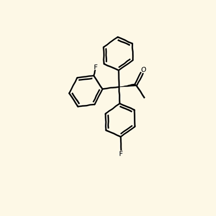 CC(=O)[C@@](c1ccccc1)(c1ccc(F)cc1)c1ccccc1F